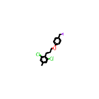 Cc1cc(Cl)c(CCCOc2ccc(CI)cc2)c(Cl)c1